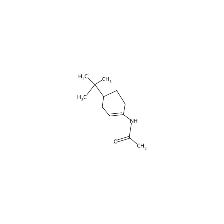 CC(=O)NC1=CCC(C(C)(C)C)CC1